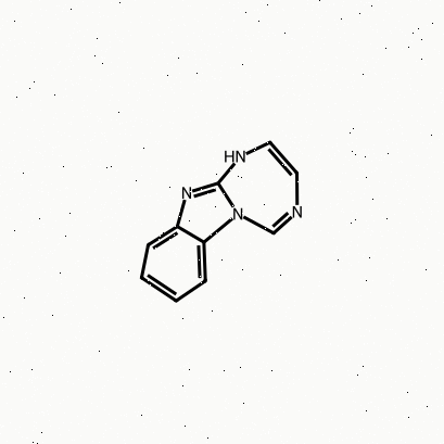 C1=CNc2nc3ccccc3n2C=N1